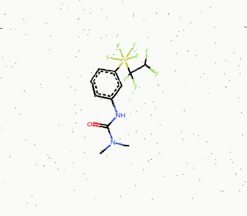 CN(C)C(=O)Nc1cccc(S(F)(F)(F)(F)C(F)(F)C(F)F)c1